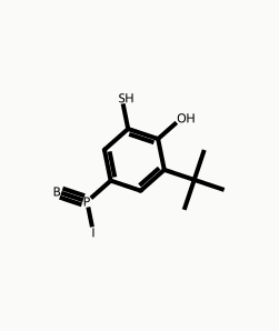 B#P(I)c1cc(S)c(O)c(C(C)(C)C)c1